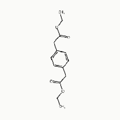 CCOC(=O)Cc1ccc(CC(=O)OCC)cc1